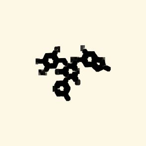 Cc1cncc(-n2c(=O)nc(Nc3cc4cn(C)nc4cc3F)n(Cc3cc(C#N)c(F)cc3Cl)c2=O)c1